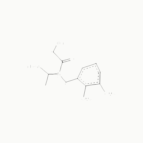 CCCCCC(C)N(Cc1cccc(OC)c1OC)C(=O)CC(C)(C)C